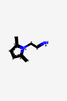 C=c1ccc(=C)n1CC=N